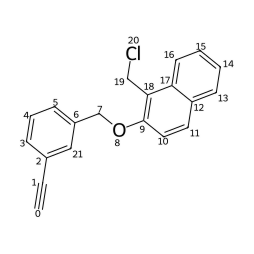 C#Cc1cccc(COc2ccc3ccccc3c2CCl)c1